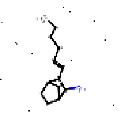 NC1C2CCC(C2)C1C=CCCCC(=O)O